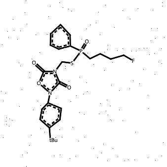 CC(C)(C)c1ccc(-n2oc(=O)n(CSP(=O)(CCCCF)c3ccccc3)c2=O)cc1